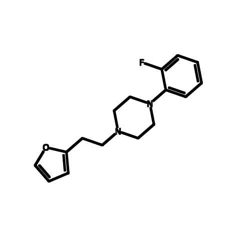 Fc1ccccc1N1CCN(CCc2ccco2)CC1